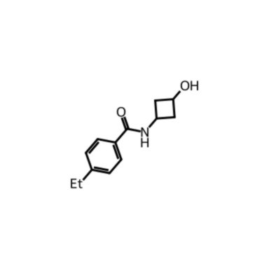 CCc1ccc(C(=O)NC2CC(O)C2)cc1